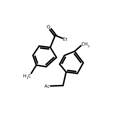 CC(=O)Cc1ccc(C)cc1.CCC(=O)c1ccc(C)cc1